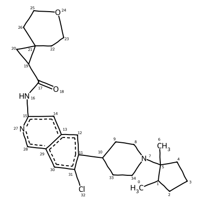 CC1CCCC1(C)N1CCC(c2cc3cc(NC(=O)C4CC45CCOCC5)ncc3cc2Cl)CC1